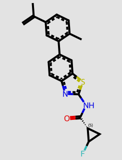 C=C(C)c1ccc(C)c(-c2ccc3nc(NC(=O)[C@@H]4CC4F)sc3c2)c1